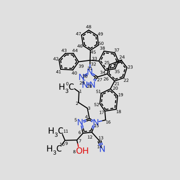 CCCCc1nc(C(O)C(C)C)c(C#N)n1Cc1ccc(-c2ccccc2-c2nnnn2C(c2ccccc2)(c2ccccc2)c2ccccc2)cc1